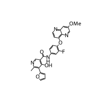 COc1cnc2c(Oc3ccc(NC(=O)c4cnc(C)c(-c5ccco5)c4O)cc3F)ccnc2c1